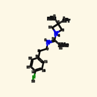 CCCCC1(CCC)CN(/C(=N/CCc2ccc(F)cc2)SC)C1